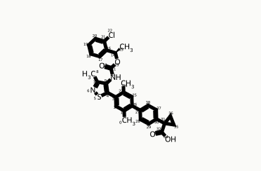 Cc1cc(-c2snc(C)c2NC(=O)O[C@H](C)c2ccccc2Cl)c(C)cc1-c1ccc(C2(C(=O)O)CC2)cc1